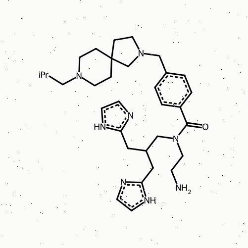 CC(C)CN1CCC2(CC1)CCN(Cc1ccc(C(=O)N(CCN)CC(Cc3ncc[nH]3)Cc3ncc[nH]3)cc1)C2